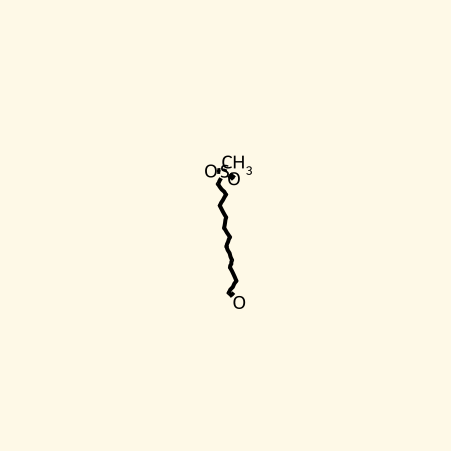 CS(=O)(=O)CCCCCCCCCCC=O